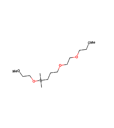 COCCOCCOCCC[Si](C)(C)OCCOC